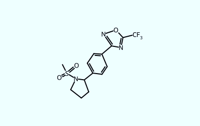 CS(=O)(=O)N1CCCC1c1ccc(-c2noc(C(F)(F)F)n2)cc1